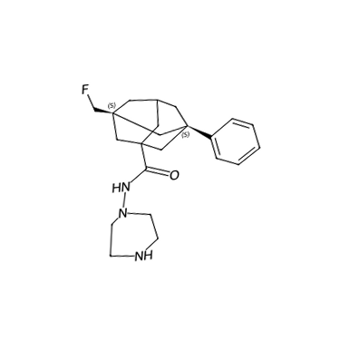 O=C(NN1CCNCC1)C12CC3C[C@@](CF)(C1)C[C@](c1ccccc1)(C3)C2